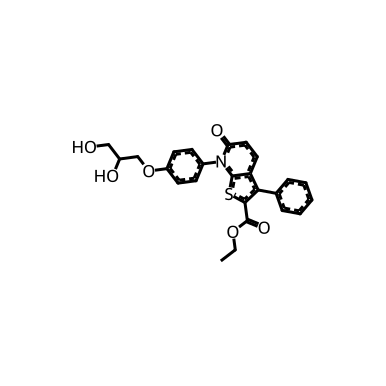 CCOC(=O)c1sc2c(ccc(=O)n2-c2ccc(OCC(O)CO)cc2)c1-c1ccccc1